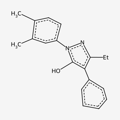 CCc1nn(-c2ccc(C)c(C)c2)c(O)c1-c1ccccc1